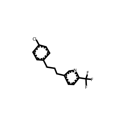 FC(F)(F)c1ccc(CC[CH]c2ccc(Cl)cc2)cn1